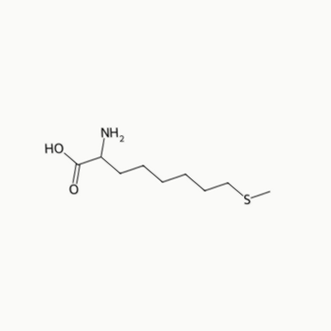 CSCCCCCCC(N)C(=O)O